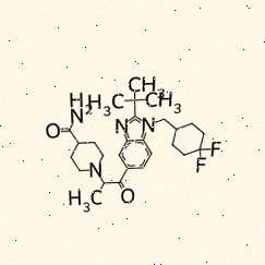 CC(C(=O)c1ccc2c(c1)nc(C(C)(C)C)n2CC1CCC(F)(F)CC1)N1CCC(C(N)=O)CC1